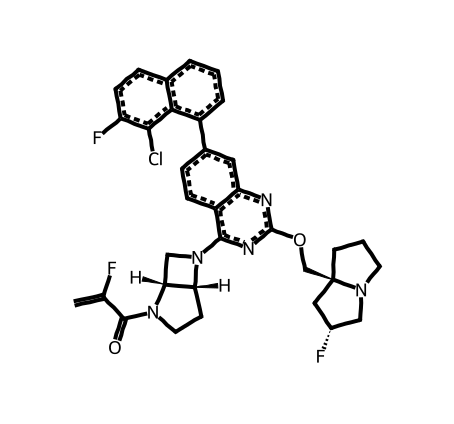 C=C(F)C(=O)N1CC[C@@H]2[C@H]1CN2c1nc(OC[C@@]23CCCN2C[C@H](F)C3)nc2cc(-c3cccc4ccc(F)c(Cl)c34)ccc12